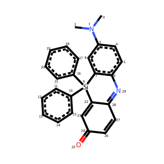 CN(C)c1ccc2c(c1)[Si](c1ccccc1)(c1ccccc1)C1=CC(=O)C=CC1=N2